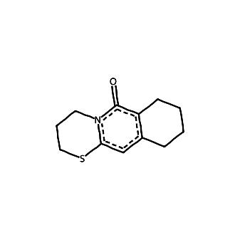 O=c1c2c(cc3n1CCCS3)CCCC2